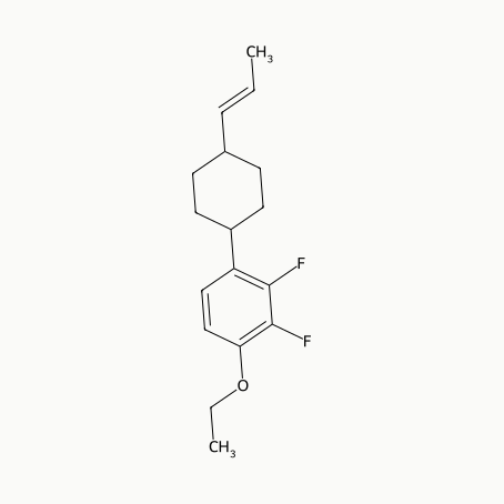 CC=CC1CCC(c2ccc(OCC)c(F)c2F)CC1